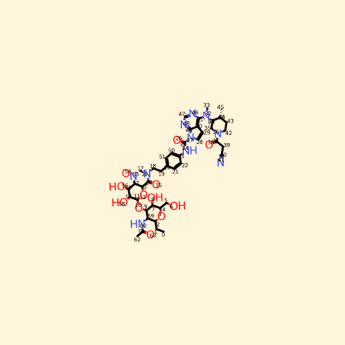 CCC1OC(CO)C(O)C(OC2OC(C(=O)N(C)CCc3ccc(NC(=O)n4ccc5c(N(C)[C@H]6CN(C(=O)CC#N)CC[C@H]6C)ncnc54)cc3)C(N=O)C(O)C2O)C1NC(C)=O